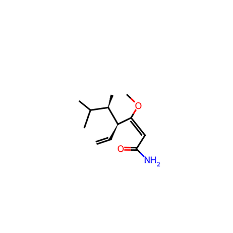 C=C[C@H](/C(=C\C(N)=O)OC)[C@H](C)C(C)C